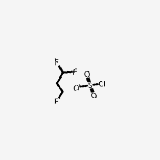 FCCC(F)F.O=S(=O)(Cl)Cl